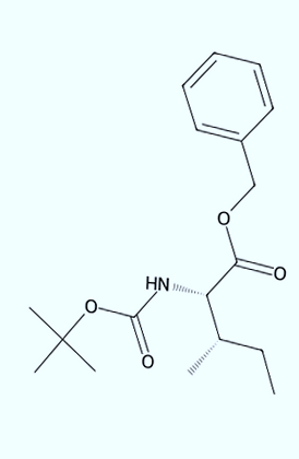 CC[C@H](C)[C@H](NC(=O)OC(C)(C)C)C(=O)OCc1ccccc1